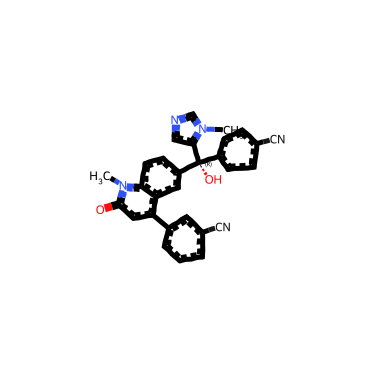 Cn1cncc1[C@@](O)(c1ccc(C#N)cc1)c1ccc2c(c1)c(-c1cccc(C#N)c1)cc(=O)n2C